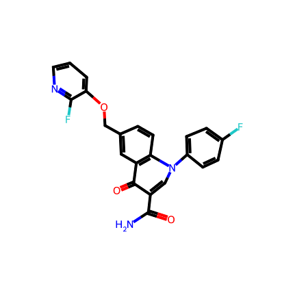 NC(=O)c1cn(-c2ccc(F)cc2)c2ccc(COc3cccnc3F)cc2c1=O